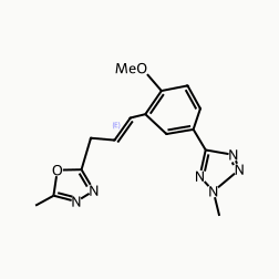 COc1ccc(-c2nnn(C)n2)cc1/C=C/Cc1nnc(C)o1